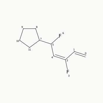 C=C/C(F)=C\C(F)C1CCCC1